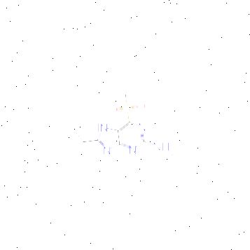 CCc1nc2nc(N)nc(S(C)(=O)=O)c2[nH]1